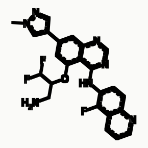 Cn1cc(-c2cc(OC(CN)C(F)F)c3c(Nc4ccc5ncccc5c4F)ncnc3c2)cn1